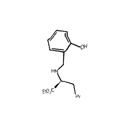 CCOC(=O)[C@H](CC(C)C)NCc1ccccc1O